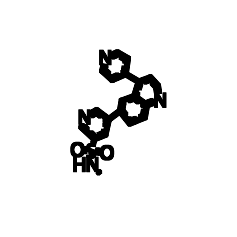 CNS(=O)(=O)c1cncc(-c2ccc3nccc(-c4ccncc4)c3c2)c1